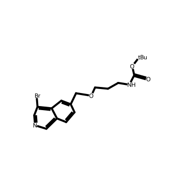 CC(C)(C)OC(=O)NCCCOCc1ccc2cncc(Br)c2c1